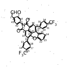 O=CCc1ccc(-n2c(=O)c3cc(-c4ccc(C(F)(F)F)cc4)c4oc5ccccc5c5c(-c6ccc(C(F)(F)F)cc6)cc(c2=O)c3c45)cc1